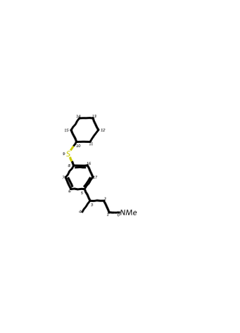 CNCCC(C)c1ccc(SC2CCCCC2)cc1